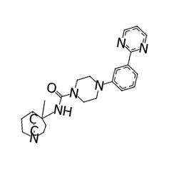 CC1(NC(=O)N2CCN(c3cccc(-c4ncccn4)c3)CC2)CCN2CCC1CC2